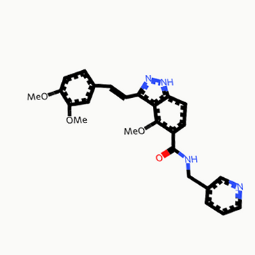 COc1ccc(/C=C/c2n[nH]c3ccc(C(=O)NCc4cccnc4)c(OC)c23)cc1OC